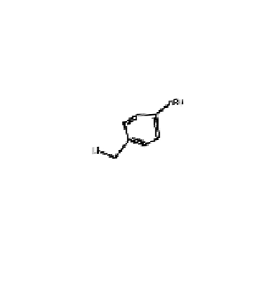 [Li][CH2]c1ccc(CCCC)cc1